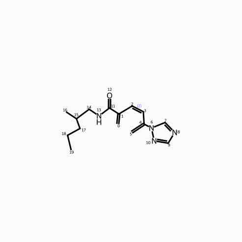 C=C(/C=C\C(=C)n1cncn1)C(=O)NCC(C)CCC